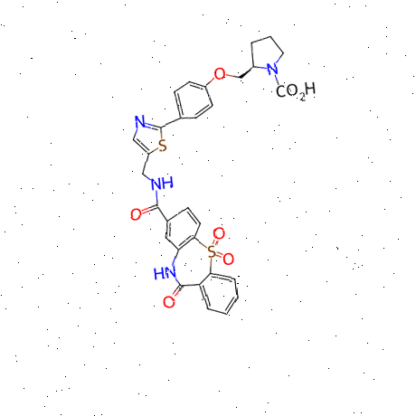 O=C(NCc1cnc(-c2ccc(OC[C@H]3CCCN3C(=O)O)cc2)s1)c1ccc2c(c1)NC(=O)c1ccccc1S2(=O)=O